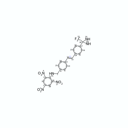 O=[N+]([O-])c1cc([N+](=O)[O-])c(NCc2ccc(/C=C/c3ccc(C4(C(F)(F)F)NN4)cc3)cc2)c([N+](=O)[O-])c1